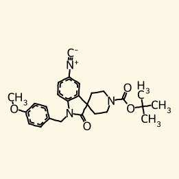 [C-]#[N+]c1ccc2c(c1)C1(CCN(C(=O)OC(C)(C)C)CC1)C(=O)N2Cc1ccc(OC)cc1